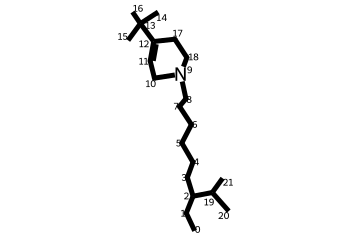 CCC(CCCCCCN1CC=C(C(C)(C)C)CC1)C(C)C